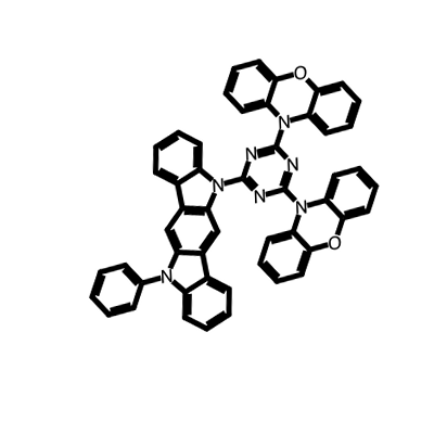 c1ccc(-n2c3ccccc3c3cc4c(cc32)c2ccccc2n4-c2nc(N3c4ccccc4Oc4ccccc43)nc(N3c4ccccc4Oc4ccccc43)n2)cc1